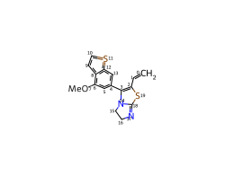 C=CC1=C(c2cc(OC)c3ccsc3c2)N2CCN=C2S1